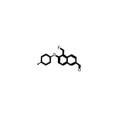 C[C@H]1CC[C@@H](Oc2ccc3cc(C=O)ccc3c2CF)CC1